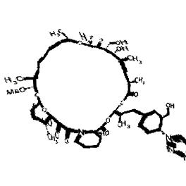 CO[C@H]1C[C@@H]2CC[C@@H](C)[C@@](O)(O2)C(=O)C(=O)N2CCCC[C@H]2C(=O)O[C@H]([C@H](C)CC2CC[C@@H](n3cnnn3)[C@H](CO)C2)CC(=O)[C@H](C)/C=C(\C)[C@@H](O)[C@@H](CO)C(=O)[C@H](C)C[C@H](C)/C=C/C=C/C=C/1C